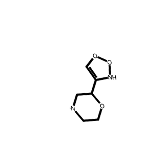 C1=C(C2C[N]CCO2)NOO1